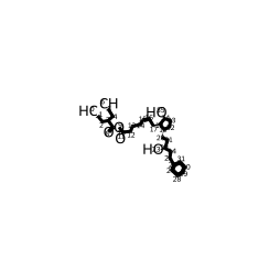 C#CCC(CC#C)C(=O)OC(=O)CCC/C=C\C[C@@H]1[C@@H](CC[C@@H](O)CCc2ccccc2)CC[C@@H]1O